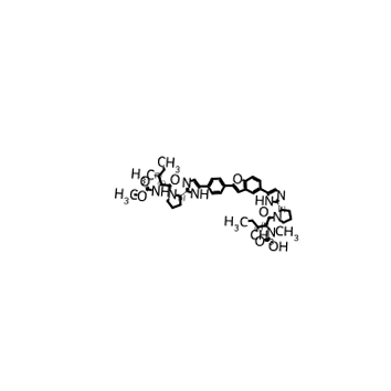 CC[C@@H](C)[C@H](NC(=O)OC)C(=O)N1CCC[C@H]1c1ncc(-c2ccc(-c3cc4cc(-c5cnc([C@@H]6CCCN6C(=O)[C@H]([C@H](C)CC)N(C)C(=O)O)[nH]5)ccc4o3)cc2)[nH]1